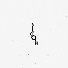 CCCCCCOC1CC=C(C#N)CC1